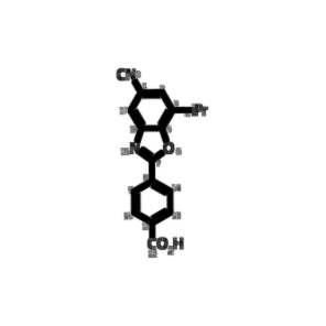 [C-]#[N+]c1cc(C(C)C)c2oc(-c3ccc(C(=O)O)cc3)nc2c1